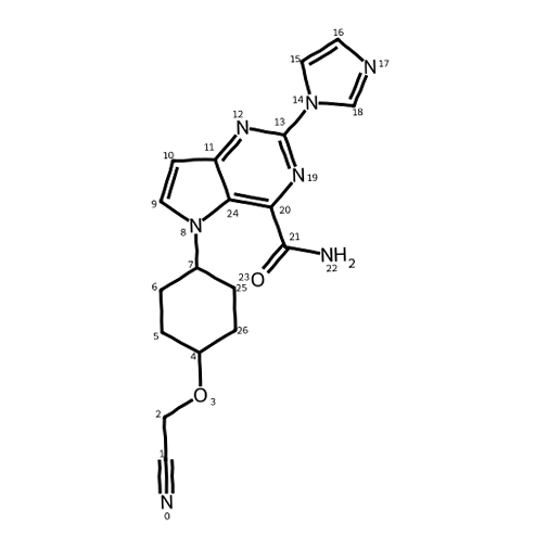 N#CCOC1CCC(n2ccc3nc(-n4ccnc4)nc(C(N)=O)c32)CC1